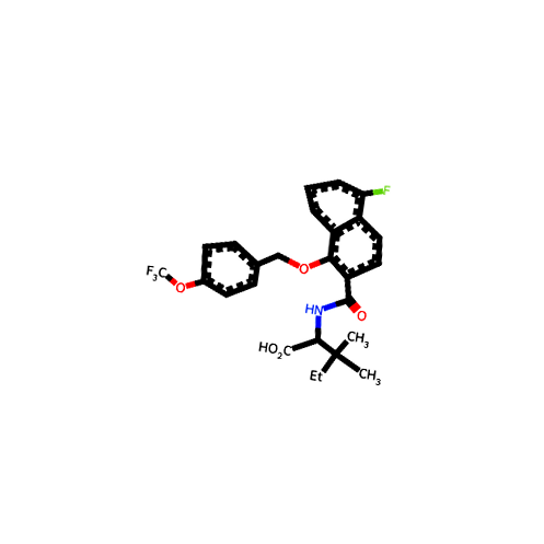 CCC(C)(C)C(NC(=O)c1ccc2c(F)cccc2c1OCc1ccc(OC(F)(F)F)cc1)C(=O)O